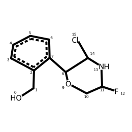 OCc1ccccc1C1OCC(F)NC1Cl